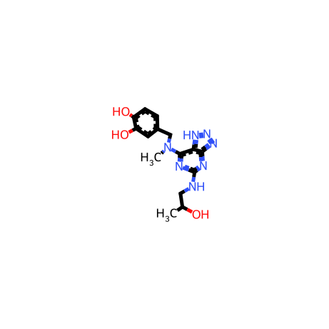 CC(O)CNc1nc(N(C)Cc2ccc(O)c(O)c2)c2[nH]nnc2n1